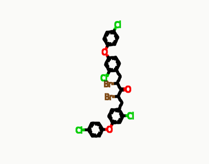 O=C(C(Br)Cc1ccc(Oc2ccc(Cl)cc2)cc1Cl)C(Br)Cc1ccc(Oc2ccc(Cl)cc2)cc1Cl